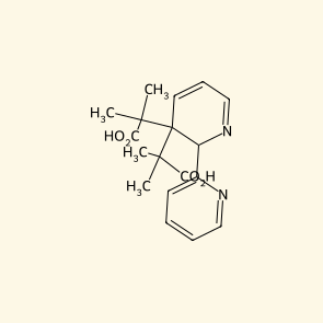 CC(C)(C(=O)O)C1(C(C)(C)C(=O)O)C=CC=NC1c1ccccn1